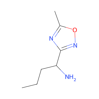 CCCC(N)c1noc(C)n1